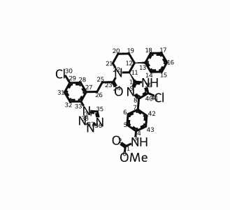 COC(=O)Nc1ccc(-c2nc([C@@H]3[C@H](c4ccccc4)CCCN3C(=O)CCc3cc(Cl)ccc3-n3cnnn3)[nH]c2Cl)cc1